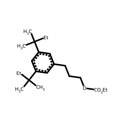 CCOC(=O)OCCCc1cc(C(C)(C)CC)cc(C(C)(C)CC)c1